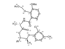 COc1ccnc(C(=O)N[C@@H](C)C(=O)OC(C(C)C)[C@H](C)Oc2ccc(C)cc2Cl)c1OCOC(C)=O